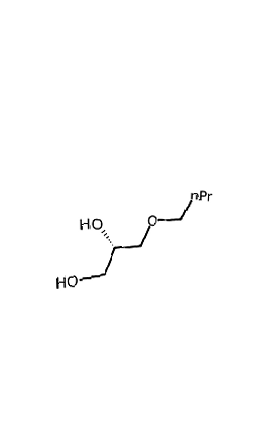 CCCCOC[C@@H](O)CO